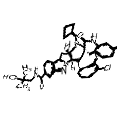 CC(C)(O)CNC(=O)c1ccc2c3n(nc2c1)[C@@H]1[C@H](C3)N(CC2CCC2)[C@]2(Cc3ccc(Cl)cc3NC2=O)[C@H]1c1cccc(Cl)c1F